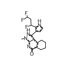 Cn1[nH]c(-c2cc[nH]c2C(F)CC(F)F)c2c3c(c(=O)nc1-2)CCCC3